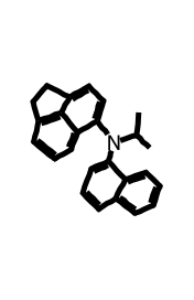 CC(C)N(c1cccc2ccccc12)c1ccc2c3c(cccc13)CC2